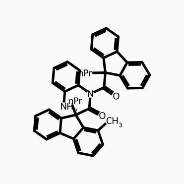 CCCC1(C(=O)N(C(=O)C2(CCC)c3ccccc3-c3cccc(C)c32)c2ccccc2N)c2ccccc2-c2ccccc21